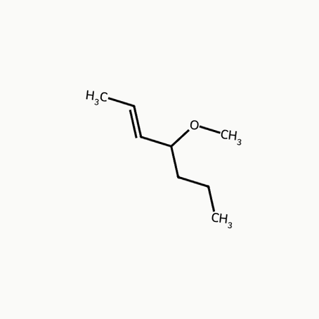 CC=CC(CCC)OC